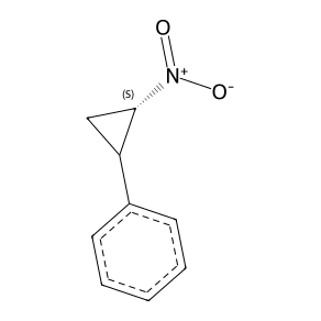 O=[N+]([O-])[C@H]1CC1c1ccccc1